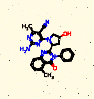 Cc1nc(N)nc(N2C[C@@H](O)C[C@H]2c2nc3cccc(C)c3c(=O)n2-c2ccccc2)c1C#N